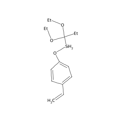 C=Cc1ccc(O[SiH2]C(CC)(OCC)OCC)cc1